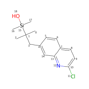 CC(C)(Cc1ccc2ccc(Cl)nc2c1)[Si](C)(C)O